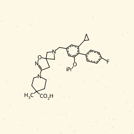 CC(C)Oc1cc(CN2CC3(CC(N4CCC(C)(C(=O)O)CC4)=NO3)C2)cc(C2CC2)c1-c1ccc(F)cc1